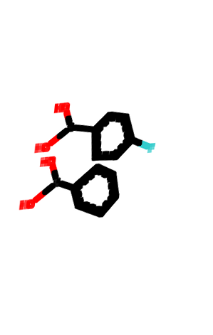 OB(O)c1ccc(F)cc1.OB(O)c1ccccc1